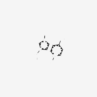 CCCCCC[n+]1ccn(C)c1.C[n+]1ccc(C=O)cc1.I